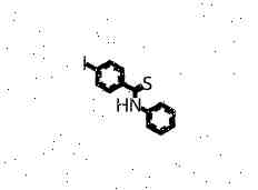 S=C(Nc1ccccc1)c1ccc(I)cc1